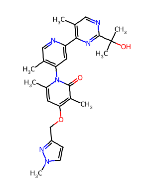 Cc1cnc(-c2nc(C(C)(C)O)ncc2C)cc1-n1c(C)cc(OCc2ccn(C)n2)c(C)c1=O